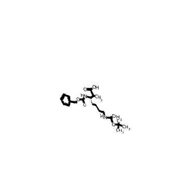 CC(C(=O)O)[C@H](CCCCNC(=O)OC(C)(C)C)NC(=O)OCc1ccccc1